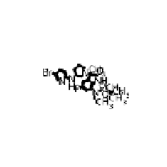 CCN(C(=O)OC(C)(C)C)c1cc(F)cc2c1NC(=O)C2(C)N1CCC[C@@H](Nc2ccc(Br)cn2)C1